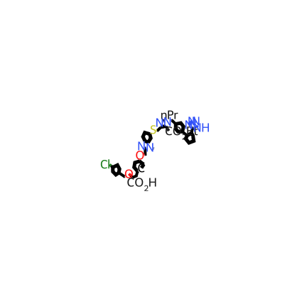 CCCc1nc(CSc2ccc3nc(COc4ccc(CC(OCc5ccc(Cl)cc5)C(=O)O)cc4)n(C)c3c2)c(C(=O)OCC)n1Cc1ccc(-c2ccccc2-c2nnn[nH]2)cc1